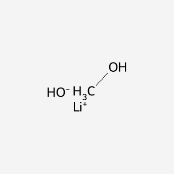 CO.[Li+].[OH-]